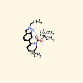 CCn1cc2ccc(C3=CC[C@H](C)CN3C(=O)OC(C)(C)C)cc2n1